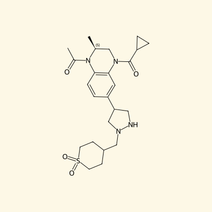 CC(=O)N1c2ccc(C3CNN(CC4CCS(=O)(=O)CC4)C3)cc2N(C(=O)C2CC2)C[C@@H]1C